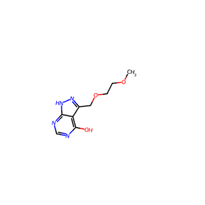 COCCOCc1n[nH]c2ncnc(O)c12